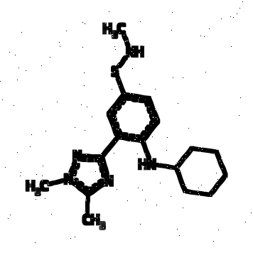 CNSc1ccc(NC2CCCCC2)c(-c2nc(C)n(C)n2)c1